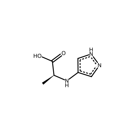 C[C@H](Nc1cn[nH]c1)C(=O)O